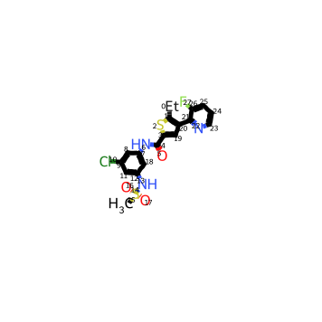 CCc1sc(C(=O)Nc2cc(Cl)cc(NS(C)(=O)=O)c2)cc1-c1ncccc1F